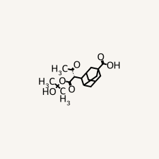 CC(=O)[C@@H](C(=O)OC(C)(C)O)C1C2CC3CC1CC(C(=O)O)(C3)C2